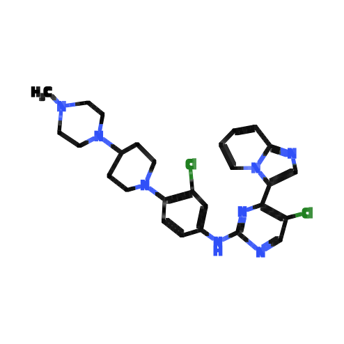 CN1CCN(C2CCN(c3ccc(Nc4ncc(Cl)c(-c5cnc6ccccn56)n4)cc3Cl)CC2)CC1